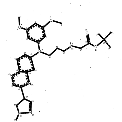 COc1cc(OC)cc(N(CCCNCC(=O)OC(C)(C)C)c2ccc3ncc(C4C=NN(C)C4)nc3c2)c1